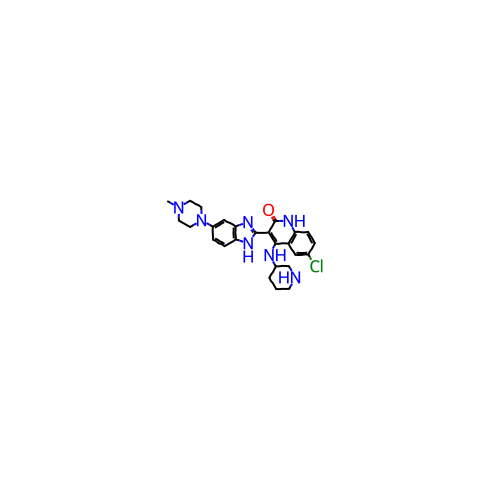 CN1CCN(c2ccc3[nH]c(-c4c(NC5CCCNC5)c5cc(Cl)ccc5[nH]c4=O)nc3c2)CC1